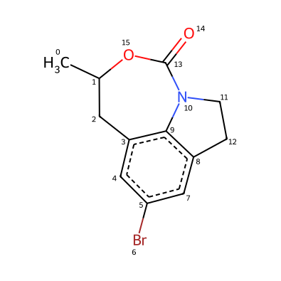 CC1Cc2cc(Br)cc3c2N(CC3)C(=O)O1